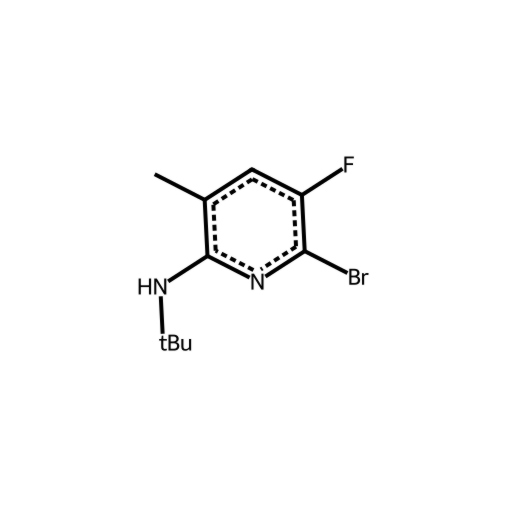 Cc1cc(F)c(Br)nc1NC(C)(C)C